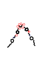 CCCCC[C@H]1CC[C@H](/C=C/COc2ccc(CO[C@@H](C(=O)OC)[C@@H](OCc3ccc(OC/C=C/[C@H]4CC[C@H](CCCCC)CC4)cc3)C(=O)OC)cc2)CC1